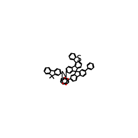 CC1(C)c2ccccc2-c2ccc(N(c3ccccc3)c3ccc4c(c3)C3(c5cc(-c6ccccc6)ccc5-c5ccc(-c6ccccc6)cc53)c3ccc5sc6ccccc6c5c3-4)cc21